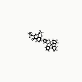 COc1c(-c2cc3c(s2)CN(C(c2ccccc2)(c2ccccc2)c2ccccc2)CC3)ccc2c(=O)c(C(=O)O)cn(C3CC3)c12